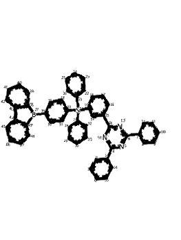 c1ccc(-c2nc(-c3ccccc3)nc(-c3cccc([Si](c4ccccc4)(c4ccccc4)c4ccc(B5c6ccccc6-c6ccccc65)cc4)c3)n2)cc1